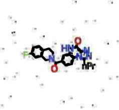 CCCc1nnc2c(=O)[nH]c3cc(C(=O)N4CCc5ccc(F)cc5C4)ccc3n12